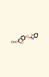 O=CC1=Cc2ccc(OCc3nc4ccccc4s3)cc2OC1